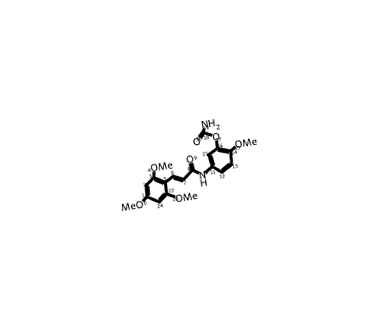 COc1cc(OC)c(/C=C/C(=O)Nc2ccc(OC)c(OC(N)=O)c2)c(OC)c1